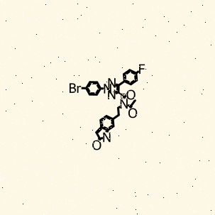 O=C1C=c2ccc(CCN3C(=O)CO[C@@H]3c3nn(-c4ccc(Br)cc4)nc3-c3ccc(F)cc3)cc2=N1